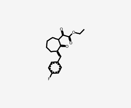 CCOC(=O)C(=O)C1CCCC/C(=C\c2ccc(F)cc2)C1=O